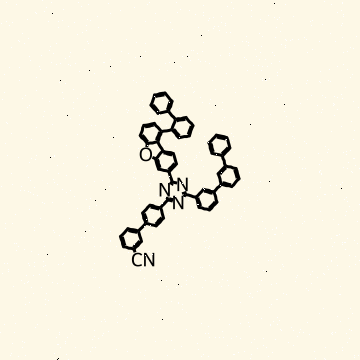 N#Cc1cccc(-c2ccc(-c3nc(-c4cccc(-c5cccc(-c6ccccc6)c5)c4)nc(-c4ccc5c(c4)oc4cccc(-c6ccccc6-c6ccccc6)c45)n3)cc2)c1